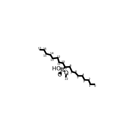 CCCCCCCCCC(CCCCCCCC)P(=O)(O)OC